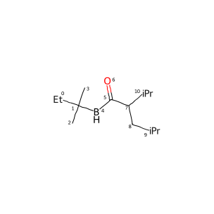 CCC(C)(C)BC(=O)C(CC(C)C)C(C)C